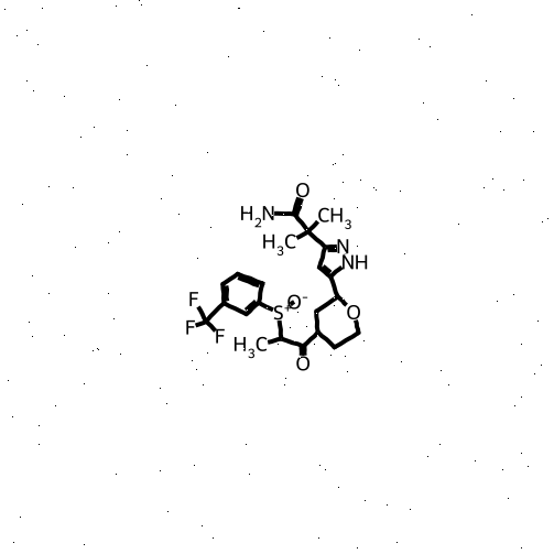 CC(C(=O)C1CCOC(c2cc(C(C)(C)C(N)=O)n[nH]2)C1)[S+]([O-])c1cccc(C(F)(F)F)c1